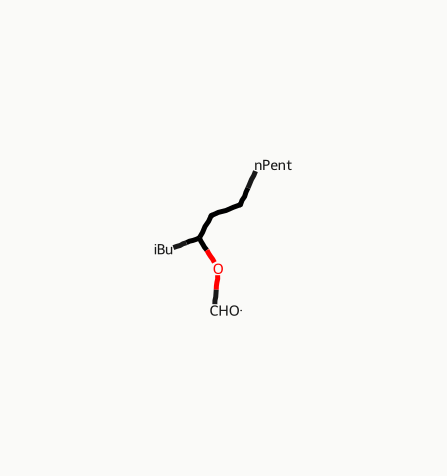 CCCCCCCC(O[C]=O)C(C)CC